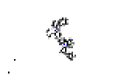 CC1CC=Cc2c1c1cc(-c3ccc4c(c3)c3ccccc3n4-c3cccc(-c4ccccc4)c3)ccc1n2C1=CC(c2ccccc2)CC=C1